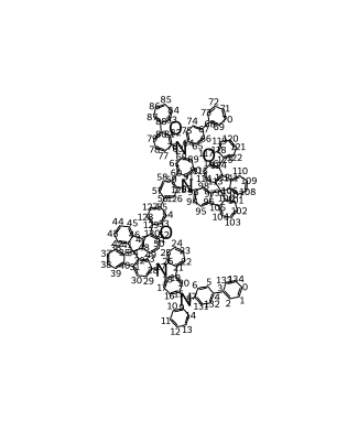 c1ccc(-c2ccc(N(c3ccccc3)c3ccc4c(c3)c3ccccc3n4-c3ccc4c(c3)C3(c5ccccc5-4)c4ccccc4-c4c3ccc3oc5cc(-c6ccc7c8cc(N(c9ccc(-c%10ccccc%10)cc9)c9cccc%10c9oc9ccccc9%10)ccc8n(-c8ccc9c(c8)C8(c%10ccccc%10-9)c9ccccc9-c9c8ccc8oc%10ccccc%10c98)c7c6)ccc5c43)cc2)cc1